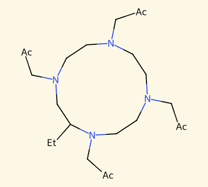 CCC1CN(CC(C)=O)CCN(CC(C)=O)CCN(CC(C)=O)CCN1CC(C)=O